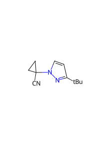 CC(C)(C)c1ccn(C2(C#N)CC2)n1